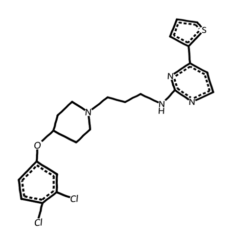 Clc1ccc(OC2CCN(CCCNc3nccc(-c4cccs4)n3)CC2)cc1Cl